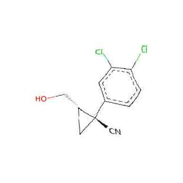 N#C[C@@]1(c2ccc(Cl)c(Cl)c2)C[C@@H]1CO